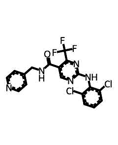 O=C(NCc1ccncc1)c1cnc(Nc2c(Cl)cccc2Cl)nc1C(F)(F)F